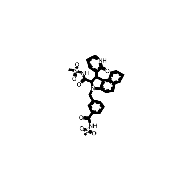 CS(=O)(=O)NC(=O)c1cccc(CN2c3ccc4ccccc4c3C(c3ccc[nH]c3=O)C2C(=O)NS(C)(=O)=O)c1